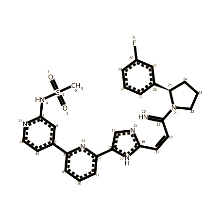 CS(=O)(=O)Nc1cc(-c2cccc(-c3cnc(/C=C\C(=N)N4CCC[C@@H]4c4cccc(F)c4)[nH]3)n2)ccn1